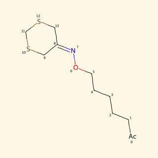 CC(=O)CCCCCON=C1CSCSC1